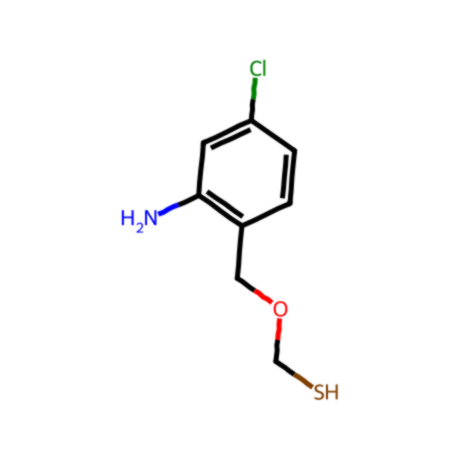 Nc1cc(Cl)ccc1COCS